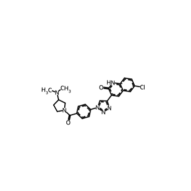 CN(C)C1CCN(C(=O)c2ccc(-n3cc(-c4cc5cc(Cl)ccc5[nH]c4=O)nn3)cc2)C1